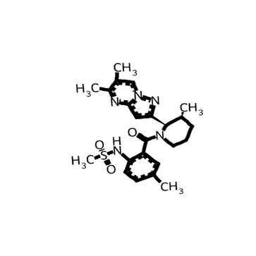 Cc1ccc(NS(C)(=O)=O)c(C(=O)N2CCC[C@@H](C)[C@@H]2c2cc3nc(C)c(C)cn3n2)c1